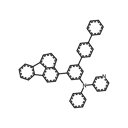 c1ccc(-c2ccc(-c3cc(-c4ccc5c6c(cccc46)-c4ccccc4-5)cc(N(c4ccccc4)c4cccnc4)c3)cc2)cc1